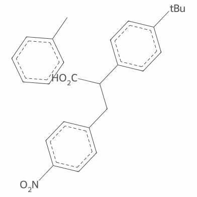 CC(C)(C)c1ccc(C(Cc2ccc([N+](=O)[O-])cc2)C(=O)O)cc1.Cc1ccccc1